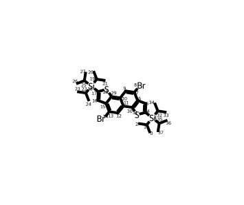 CC(C)[Si](c1cc2c(Br)cc3c(cc(Br)c4cc([Si](C(C)C)(C(C)C)C(C)C)sc43)c2s1)(C(C)C)C(C)C